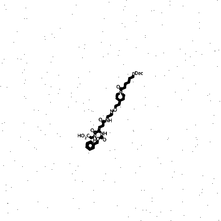 CCCCCCCCCCCCCCCC(=O)N1CCC(CCON=CCNC(=O)CCC(NC(=O)OCc2ccccc2)C(=O)NCC(=O)O)CC1